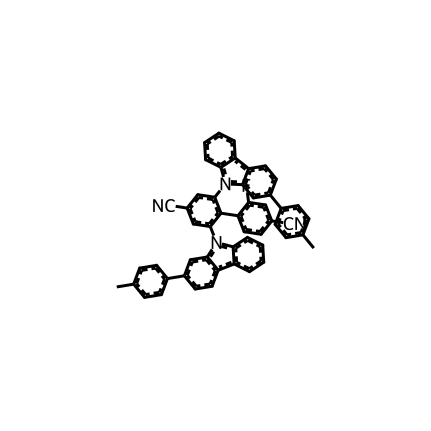 Cc1ccc(-c2ccc3c4ccccc4n(-c4cc(C#N)cc(-n5c6ccccc6c6ccc(-c7ccc(C)cc7)cc65)c4-c4ccc(C#N)cc4F)c3c2)cc1